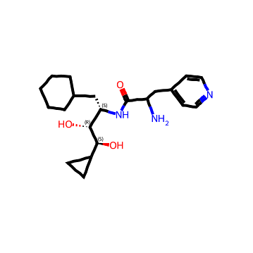 NC(Cc1ccncc1)C(=O)N[C@@H](CC1CCCCC1)[C@@H](O)[C@@H](O)C1CC1